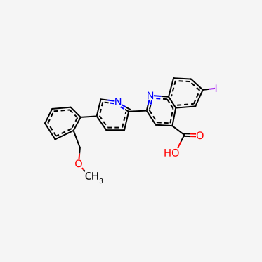 COCc1ccccc1-c1ccc(-c2cc(C(=O)O)c3cc(I)ccc3n2)nc1